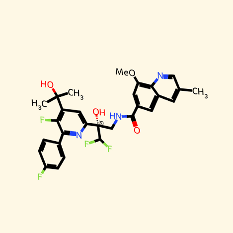 COc1cc(C(=O)NC[C@](O)(c2cc(C(C)(C)O)c(F)c(-c3ccc(F)cc3)n2)C(F)F)cc2cc(C)cnc12